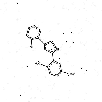 COc1ccc(C)c(-c2cc(-c3ccccc3N)c[nH]2)c1